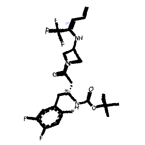 C=C/C=C(\NC1CN(C(=O)C[C@@H](Cc2cc(F)c(F)cc2F)NC(=O)OC(C)(C)C)C1)C(F)(F)F